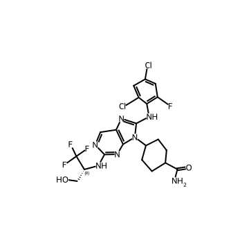 NC(=O)C1CCC(n2c(Nc3c(F)cc(Cl)cc3Cl)nc3cnc(N[C@H](CO)C(F)(F)F)nc32)CC1